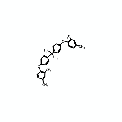 Cc1ccc(Oc2ccc(C(c3ccc(Oc4ccc(C)cc4C(F)(F)F)cc3)(C(F)(F)F)C(F)(F)F)cc2)c(C(F)(F)F)c1